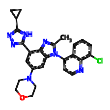 Cc1nc2c(-c3nnc(C4CC4)[nH]3)cc(N3CCOCC3)cc2n1-c1ccnc2c(Cl)cccc12